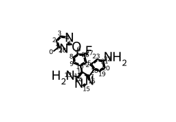 Cc1ccnc(Oc2ccc(-c3c(N)ncnc3-c3ccc(N)cc3)cc2F)n1